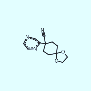 N#CC1(c2cnccn2)CCC2(CC1)OCCO2